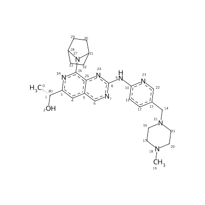 C[C@@H](O)c1cc2cnc(Nc3ccc(CN4CCN(C)CC4)cn3)nc2c(N2C3CCC2CC3)n1